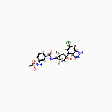 CS(=O)(=O)Nc1cccc(C(=O)NC2[C@H]3CC(O)(c4cc(Cl)cc5[nH]ncc45)C[C@@H]23)c1